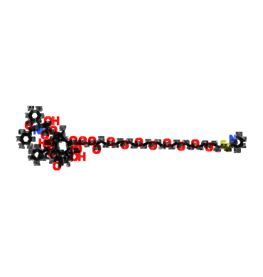 CC(=O)O[C@@]12COC1C[C@H](O)[C@@]1(C)C(=O)[C@H](OC(=O)OCOC(=O)CCOCCOCCOCCOCCOCCOCCOCCOCCSSc3ccccn3)C3=C(C)C(OC(=O)[C@H](O)C(NC(=O)c4ccccc4)c4ccccc4)C[C@@](O)([C@@H](OC(=O)c4ccccc4)[C@@H]12)C3(C)C